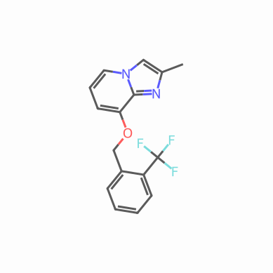 Cc1cn2cccc(OCc3ccccc3C(F)(F)F)c2n1